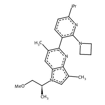 COC[C@H](C)n1cc(C)c2nc(-c3ccc(C(C)C)nc3N3CCC3)c(C)cc21